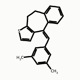 Cc1cc(C)cc(C=C2c3ccccc3CCc3sccc32)c1